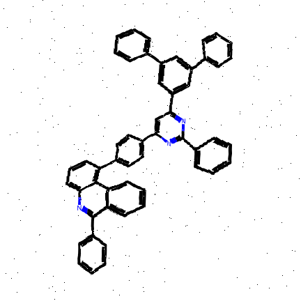 c1ccc(-c2cc(-c3ccccc3)cc(-c3cc(-c4ccc(-c5cccc6nc(-c7ccccc7)c7ccccc7c56)cc4)nc(-c4ccccc4)n3)c2)cc1